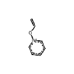 C=CO[n+]1ccccc1